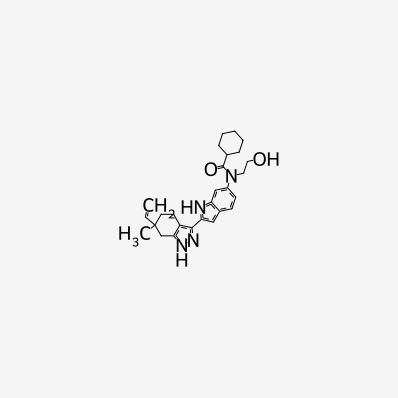 C=CC1(C)CCc2c(-c3cc4ccc(N(CCO)C(=O)C5CCCCC5)cc4[nH]3)n[nH]c2C1